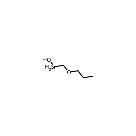 CCCOC[SiH2]O